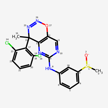 C[S+]([O-])c1cccc(Nc2ncc3c(n2)C(C)(c2c(Cl)cccc2Cl)N=NO3)c1